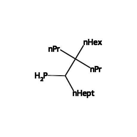 CCCCCCCC(P)C(CCC)(CCC)CCCCCC